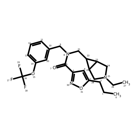 CCCc1cc(C(=O)N(Cc2cccc(OC(F)(F)F)c2)CC2C3CN(CC)CC32)no1